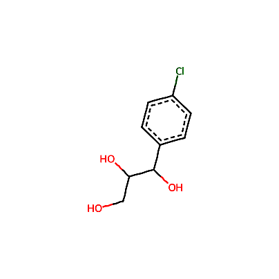 OCC(O)C(O)c1ccc(Cl)cc1